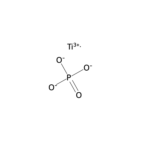 O=P([O-])([O-])[O-].[Ti+3]